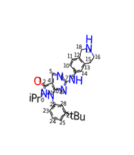 CC(C)n1c(=O)c2cnc(Nc3ccc4c(c3)CCNC4)nc2n1-c1cccc(C(C)(C)C)c1